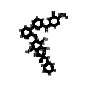 C[C@H]1CCC(Nc2nccc(-c3cccnc3Oc3cc(F)c(NS(=O)(=O)Cc4ccccc4)c(F)c3F)n2)CN1